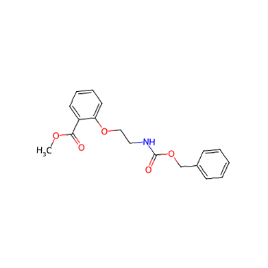 COC(=O)c1ccccc1OCCNC(=O)OCc1ccccc1